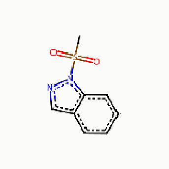 CS(=O)(=O)n1ncc2cc[c]cc21